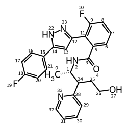 C[C@H](NC(=O)c1cccc(F)c1-c1cc(-c2ccc(F)cc2)[nH]n1)C(CCO)c1ccccn1